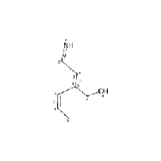 C/C=C\C(=C/C=N)CO